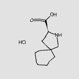 Cl.O=C(O)[C@@H]1CC2(CCCC2)CN1